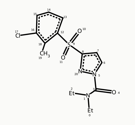 CCN(CC)C(=O)n1ccc(S(=O)(=O)c2cccc(Cl)c2C)n1